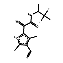 B=C(C(=O)NC(C)C(F)(F)F)c1[nH]c(C)c(C=O)c1C